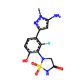 Cn1nc(-c2ccc(O)c(N3CC(=O)NS3(=O)=O)c2F)cc1N